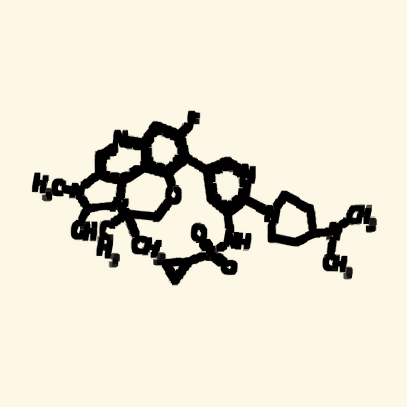 CN(C)C1CCN(c2ncc(-c3c(F)cc4ncc5c6c4c3OCC(C)(C)N6C(O)N5C)cc2NS(=O)(=O)C2CC2)CC1